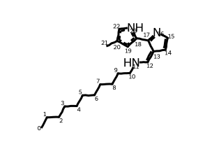 CCCCCCCCCCCNC=C1C=CN=C1c1cc(C)c[nH]1